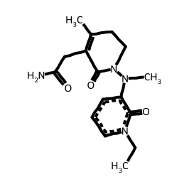 CCn1cccc(N(C)N2CCC(C)=C(CC(N)=O)C2=O)c1=O